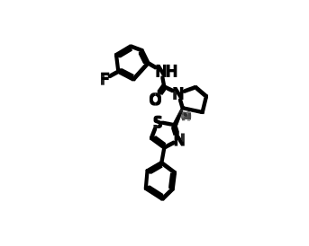 O=C(Nc1cccc(F)c1)N1CCC[C@H]1c1nc(-c2ccccc2)cs1